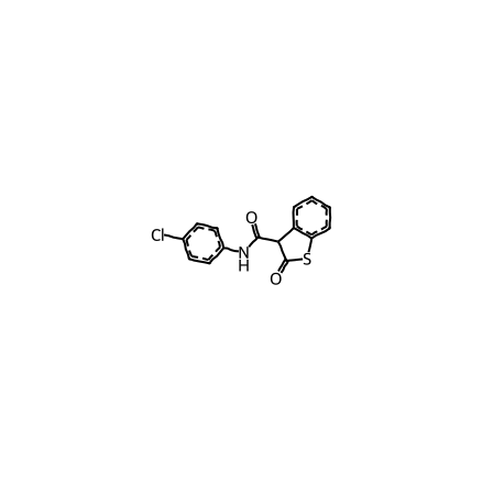 O=C(Nc1ccc(Cl)cc1)C1C(=O)Sc2ccccc21